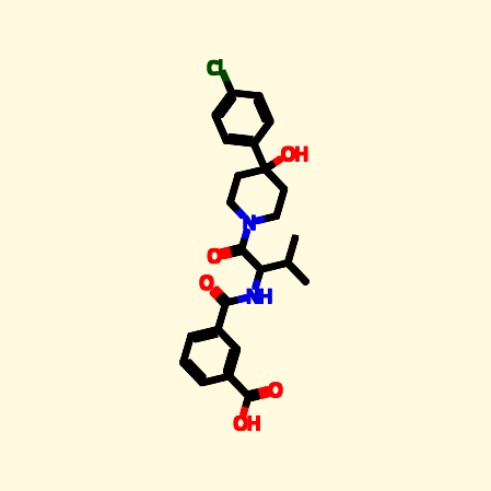 CC(C)C(NC(=O)c1cccc(C(=O)O)c1)C(=O)N1CCC(O)(c2ccc(Cl)cc2)CC1